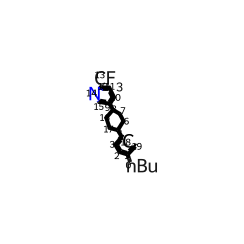 CCCCc1ccc(C2CCC(c3ccc(C(F)(F)F)nc3)CC2)cc1